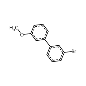 COc1cccc(-c2cccc(Br)c2)c1